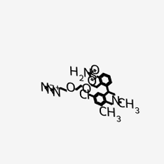 Cc1cc(Cl)cc2c1CN(C)CC2c1cccc(S(N)(=O)=O)c1CCOCCOCCN=[N+]=[N-]